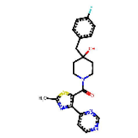 Cc1nc(-c2ccncn2)c(C(=O)N2CCC(O)(Cc3ccc(F)cc3)CC2)s1